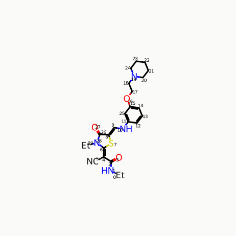 CCNC(=O)C(C#N)=c1sc(=CNc2cccc(OCCN3CCCCC3)c2)c(=O)n1CC